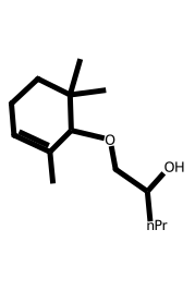 CCCC(O)COC1C(C)=CCCC1(C)C